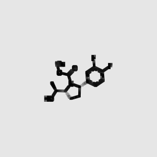 C[C@H](O)[C@H]1CC[C@@H](c2ccc(F)c(F)c2)N1C(=O)OC(C)(C)C